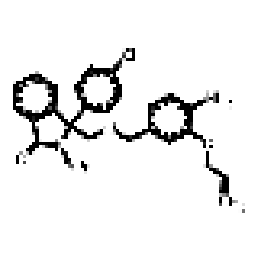 C=CCOc1cc(COCC2(c3ccc(Cl)cc3)c3ccccc3C(=O)N2CCC)ccc1N